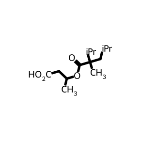 CC(C)CC(C)(C(=O)OC(C)CC(=O)O)C(C)C